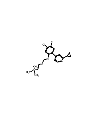 C[Si](C)(C)CCOCOc1cc(Cl)c(Cl)cc1-c1ccnc(C2CC2)c1